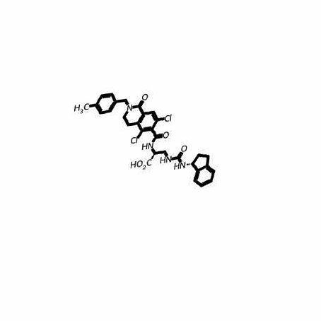 Cc1ccc(CN2CCc3c(cc(Cl)c(C(=O)N[C@@H](CNC(=O)N[C@@H]4CCc5ccccc54)C(=O)O)c3Cl)C2=O)cc1